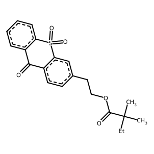 CCC(C)(C)C(=O)OCCc1ccc2c(c1)S(=O)(=O)c1ccccc1C2=O